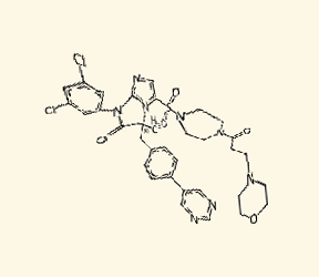 C[C@@]1(Cc2ccc(-c3cncnc3)cc2)C(=O)N(c2cc(Cl)cc(Cl)c2)c2ncc(S(=O)(=O)N3CCN(C(=O)CCN4CCOCC4)CC3)n21